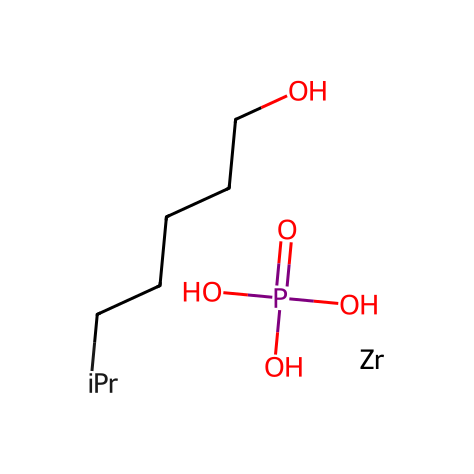 CC(C)CCCCCO.O=P(O)(O)O.[Zr]